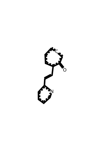 O=c1cccccc1C=Cc1ccccn1